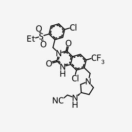 CCS(=O)(=O)c1ccc(Cl)cc1Cn1c(=O)[nH]c2c(Cl)c(CN3CC[C@@H](NCC#N)C3)c(C(F)(F)F)cc2c1=O